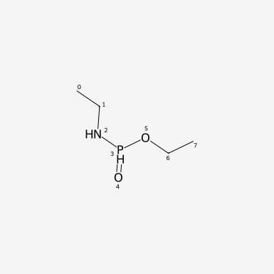 CCN[PH](=O)OCC